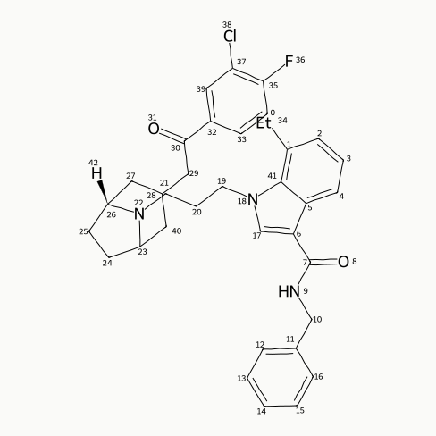 CCc1cccc2c(C(=O)NCc3ccccc3)cn(CCCN3C4CC[C@@H]3CC(CC(=O)c3ccc(F)c(Cl)c3)C4)c12